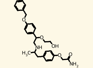 CC(Cc1ccc(OCC(N)=O)cc1)NCC(OCCO)c1ccc(OCc2ccccc2)cc1